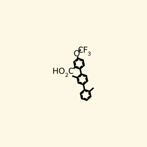 Cc1ccccc1-c1ccc(-c2ccc(OC(F)(F)F)cc2C(=O)O)c(C)c1